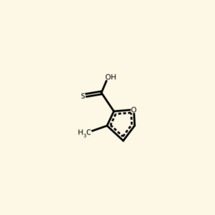 Cc1ccoc1C(O)=S